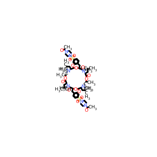 CC(=O)N1CCN(S(=O)(=O)c2ccc(CC3OC(=O)C(CC(C)C)N(C)CC(C)OC(=O)C(CC(C)C)N(C)C(=O)C(Cc4ccc(S(=O)(=O)N5CCN(C(C)=O)CC5)cc4)OC(=O)C(CC(C)C)N(C)CC(C)OC(=O)C(CC(C)C)N(C)C3=O)cc2)CC1